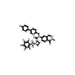 Cn1ncc2cc(N(Cc3ccc(-c4ccc(F)cc4)cn3)C(=O)[C@H]3CCN3S(=O)(=O)c3c(F)c(F)c(F)c(F)c3F)ccc2c1=O